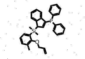 C=CCOc1c(C)cccc1[Si](C)(C)C1C=C(P(c2ccccc2)c2ccccc2)c2ccccc21